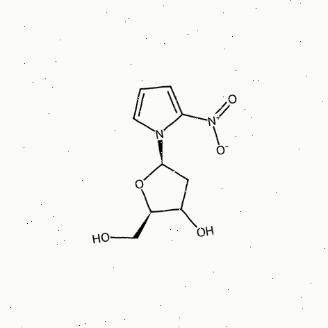 O=[N+]([O-])c1cccn1[C@H]1CC(O)[C@@H](CO)O1